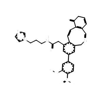 COc1cc(-c2cc3c(c(CC(=O)NCCCn4ccnc4)c2)C=CC2=C(C=CCC2=O)C=NC3)ccc1[N+](=O)[O-]